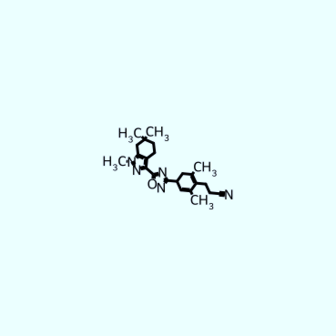 CC1=CC(c2noc(-c3nn(C)c4c3CCC(C)(C)C4)n2)CC(C)=C1CCC#N